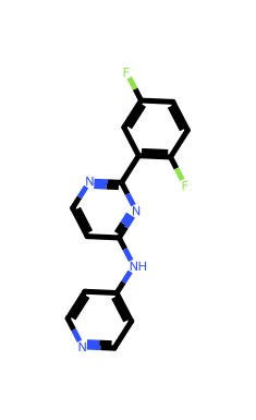 Fc1ccc(F)c(-c2nccc(Nc3ccncc3)n2)c1